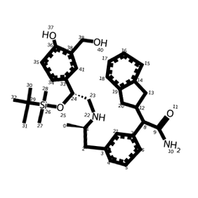 C[C@H](Cc1cccc(C(C(N)=O)C2Cc3ccccc3C2)c1)NC[C@H](O[Si](C)(C)C(C)(C)C)c1ccc(O)c(CO)c1